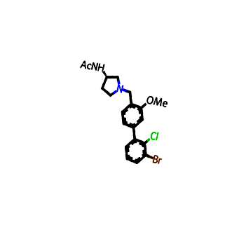 COc1cc(-c2cccc(Br)c2Cl)ccc1CN1CC[C@@H](NC(C)=O)C1